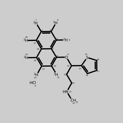 Cl.[2H]c1c([2H])c([2H])c2c(OC(CCNC)c3cccs3)c([2H])c([2H])c([2H])c2c1[2H]